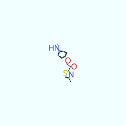 CNc1ccc(OCC(=O)c2nc(C)cs2)cc1